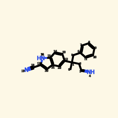 CC(CC=N)(Cc1ccccc1)c1ccc2[nH]c(C#N)cc2c1